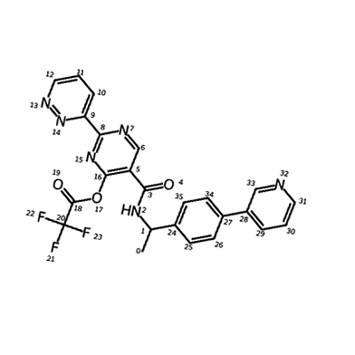 CC(NC(=O)c1cnc(-c2cccnn2)nc1OC(=O)C(F)(F)F)c1ccc(-c2cccnc2)cc1